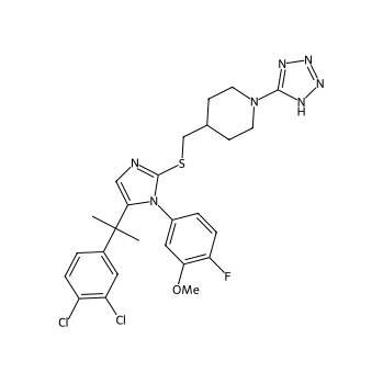 COc1cc(-n2c(C(C)(C)c3ccc(Cl)c(Cl)c3)cnc2SCC2CCN(c3nnn[nH]3)CC2)ccc1F